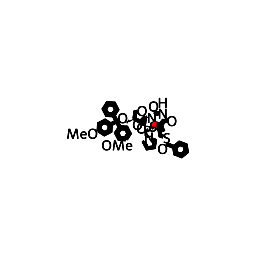 COc1ccc(C(OC[C@@]23CO[C@@](n4cc(C)c(=O)[nH]c4=O)(CO2)C3OP(SCCSC(=O)c2ccccc2)N2CCCC2)(c2ccccc2)c2ccc(OC)cc2)cc1